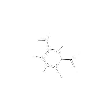 Cc1c(F)c(F)c([N+](=O)[O-])c(F)c1C(=O)O